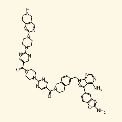 Nc1nc2cc(-c3nn(Cc4ccc5c(c4)CCN(C(=O)c4cnc(N6CCN(C(=O)c7cnc(N8CCN(c9ncc%10c(n9)CCNC%10)CC8)nc7)CC6)nc4)C5)c4ncnc(N)c34)ccc2o1